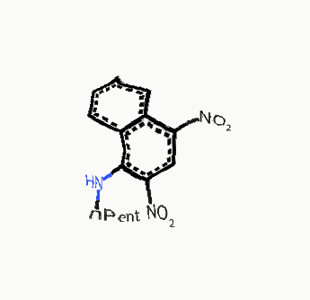 CCCCCNc1c([N+](=O)[O-])cc([N+](=O)[O-])c2ccccc12